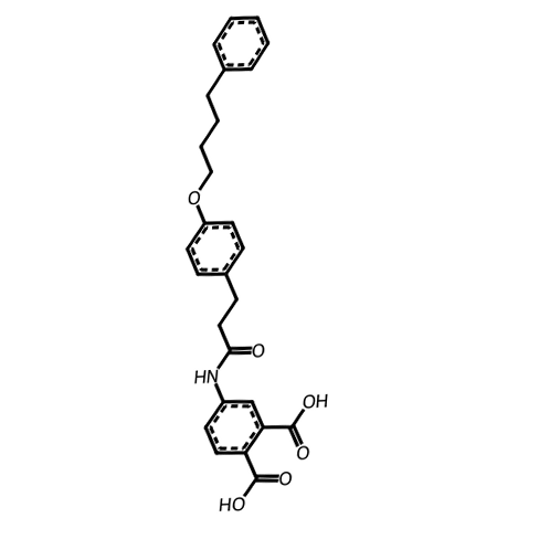 O=C(CCc1ccc(OCCCCc2ccccc2)cc1)Nc1ccc(C(=O)O)c(C(=O)O)c1